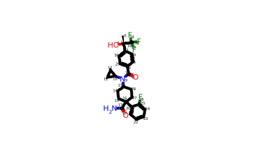 C[C@](O)(c1ccc(C(=O)N(C2CC2)C2CCC(C(N)=O)(c3ccccc3F)CC2)cc1)C(F)(F)F